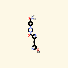 CCOc1cncc(C#Cc2cncc(C(=O)N3CCN(c4ccc(C(=O)N(CC)CC)cc4)CC3)c2)c1